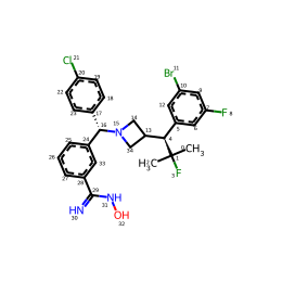 CC(C)(F)[C@H](c1cc(F)cc(Br)c1)C1CN([C@@H](c2ccc(Cl)cc2)c2cccc(C(=N)NO)c2)C1